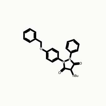 CCCCC1C(=O)N(c2ccccc2)N(c2ccc(OCc3ccccc3)cc2)C1=O